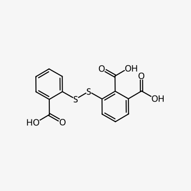 O=C(O)c1ccccc1SSc1cccc(C(=O)O)c1C(=O)O